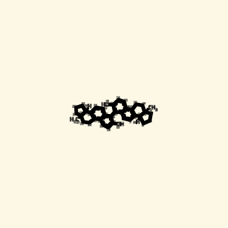 C[C@@]12CCC[C@@H]1c1ccc3c(-c4c(O)ccc5c6c(ccc45)[C@H]4CCC[C@@]4(C)CC6)c(O)ccc3c1CC2